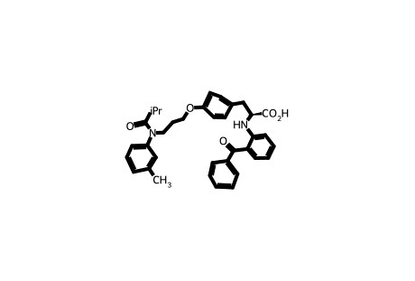 Cc1cccc(N(CCCOc2ccc(C[C@H](Nc3ccccc3C(=O)c3ccccc3)C(=O)O)cc2)C(=O)C(C)C)c1